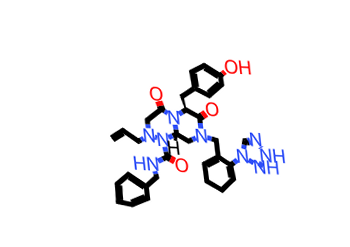 C=CCN1CC(=O)N2[C@@H](Cc3ccc(O)cc3)C(=O)N(CC3=CCCC=C3N3C=NNN3)C[C@@H]2N1C(=O)NCc1ccccc1